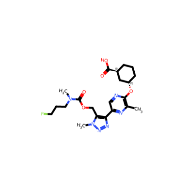 Cc1nc(-c2nnn(C)c2COC(=O)N(C)CCCF)cnc1O[C@H]1CCC[C@H](C(=O)O)C1